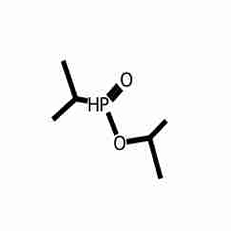 CC(C)O[PH](=O)C(C)C